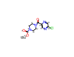 CC(C)(C)OC(=O)N1CCN(C(=O)c2cnc(Cl)cn2)CC1